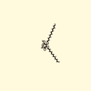 CCCCCCCCCCCCOC(C(=O)OC)C(OCCCCCCCCCCCC)C(=O)OC